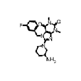 Cn1c(=O)c2c(nc(N3CCCC(N)C3)n2Cc2cccc(F)c2)n(C)c1=O